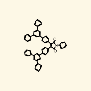 O=C1C(c2ccc(-c3cc(-c4ccccc4)cc(-c4ccccc4)c3)cc2)=C(c2ccc(-c3cc(-c4ccccc4)cc(-c4ccccc4)c3)cc2)C(=O)N1c1ccccc1